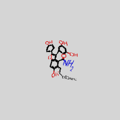 CCCCCCCCCCCCc1c(O)cc2oc(-c3ccc(O)cc3)c(-c3cc(O)cc(O)c3)c2c1C(N)=O